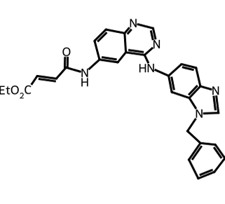 CCOC(=O)C=CC(=O)Nc1ccc2ncnc(Nc3ccc4ncn(Cc5ccccc5)c4c3)c2c1